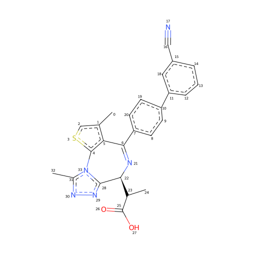 Cc1csc2c1C(c1ccc(-c3cccc(C#N)c3)cc1)=N[C@@H](C(C)C(=O)O)c1nnc(C)n1-2